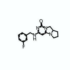 O=c1nc(NCc2cccc(F)c2)cc2n1CC1CCCN21